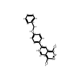 Clc1nnc(Cl)c2cc(-c3ccc(OCc4ccccc4)cc3)ncc12